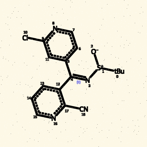 CC(C)(C)[S+]([O-])/N=C(\c1ccnc(Cl)c1)c1cccnc1C#N